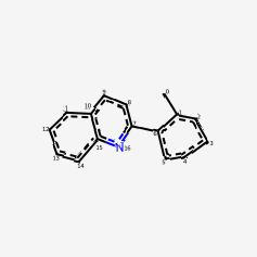 Cc1cc[c]cc1-c1ccc2ccccc2n1